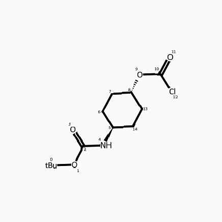 CC(C)(C)OC(=O)N[C@H]1CC[C@H](OC(=O)Cl)CC1